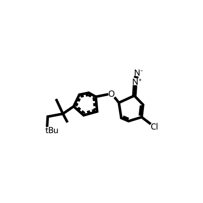 CC(C)(C)CC(C)(C)c1ccc(OC2C=CC(Cl)=CC2=[N+]=[N-])cc1